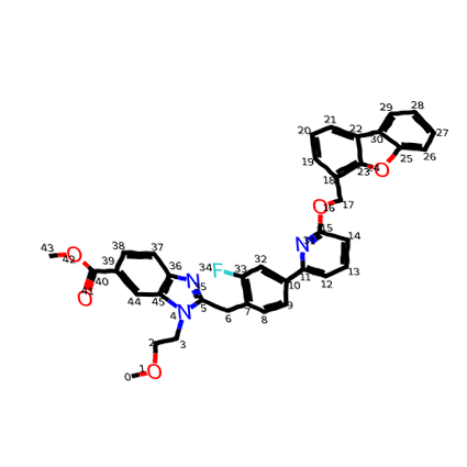 COCCn1c(Cc2ccc(-c3cccc(OCc4cccc5c4oc4ccccc45)n3)cc2F)nc2ccc(C(=O)OC)cc21